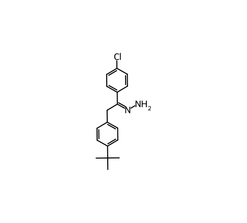 CC(C)(C)c1ccc(CC(=NN)c2ccc(Cl)cc2)cc1